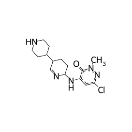 Cn1nc(Cl)cc(NC2CCC(C3CCNCC3)C=N2)c1=O